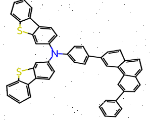 c1ccc(-c2ccc3ccc4ccc(-c5ccc(N(c6ccc7c(c6)sc6ccccc67)c6ccc7c(c6)sc6ccccc67)cc5)cc4c3c2)cc1